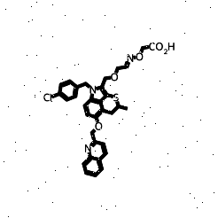 CC1Cc2c(OCc3ccc4ccccc4n3)ccc3c2c(c(COCC=NOCC(=O)O)n3Cc2ccc(Cl)cc2)S1